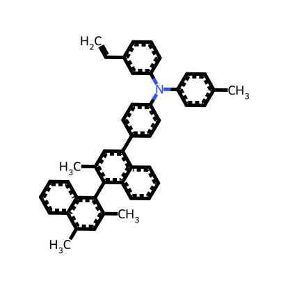 C=Cc1cccc(N(c2ccc(C)cc2)c2ccc(-c3cc(C)c(-c4c(C)cc(C)c5ccccc45)c4ccccc34)cc2)c1